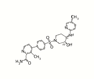 Cc1ccc(N[C@@H]2CCN(S(=O)(=O)c3ccc(-c4ccnc(C(N)=O)c4C)cc3)C[C@@H]2O)nc1